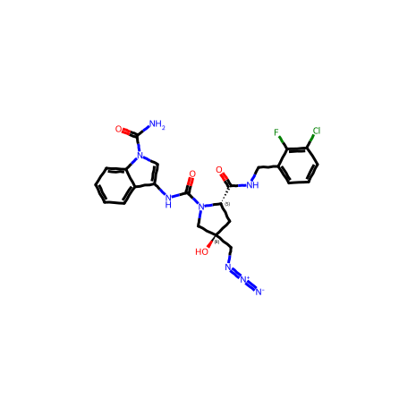 [N-]=[N+]=NC[C@@]1(O)C[C@@H](C(=O)NCc2cccc(Cl)c2F)N(C(=O)Nc2cn(C(N)=O)c3ccccc23)C1